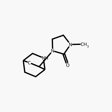 CN1CCN(C2CC3CCC2NC3)C1=O